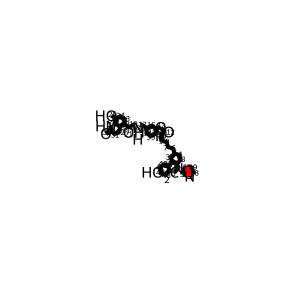 O=C(O)N(c1ccc(CCCCn2c(=O)oc3cc(CNC[C@H](O)c4ccc(O)c5[nH]c(=O)ccc45)ccc32)cc1-c1ccccc1)C1CN2CCC1CC2